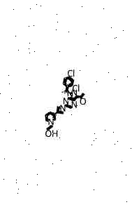 CC(=O)c1nn([C@H](C)c2ccc(Cl)cc2Cl)c2nc(N3CC([C@@H]4CCCN(CCO)C4)C3)cnc12